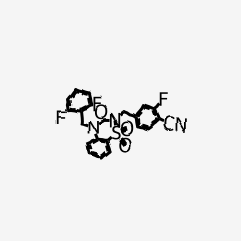 N#Cc1ccc(CN2C(=O)N(Cc3c(F)cccc3F)c3ccccc3S2(=O)=O)cc1F